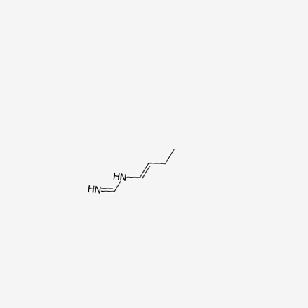 CCC=CNC=N